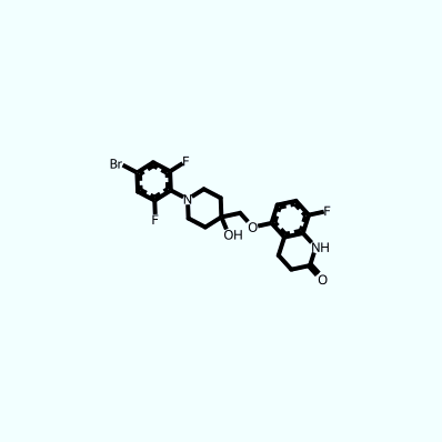 O=C1CCc2c(OCC3(O)CCN(c4c(F)cc(Br)cc4F)CC3)ccc(F)c2N1